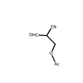 CC(=O)OCC(C#N)C=O